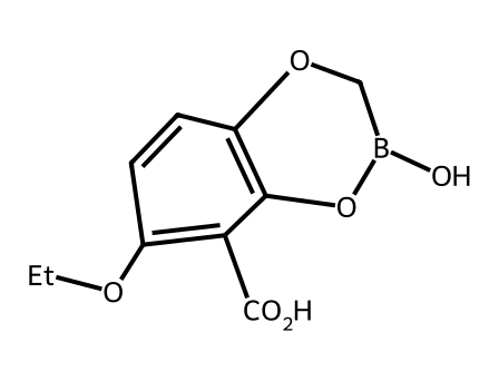 CCOc1ccc2c(c1C(=O)O)OB(O)CO2